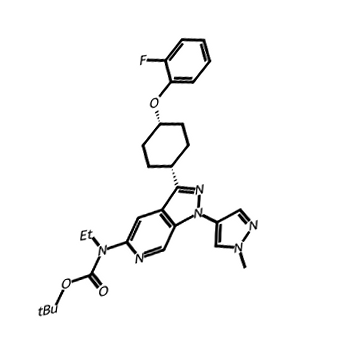 CCN(C(=O)OC(C)(C)C)c1cc2c(cn1)n(-c1cnn(C)c1)nc2[C@H]1CC[C@@H](Oc2ccccc2F)CC1